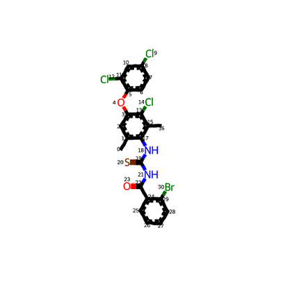 Cc1cc(Oc2ccc(Cl)cc2Cl)c(Cl)c(C)c1NC(=S)NC(=O)c1ccccc1Br